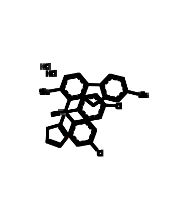 Cl.Cl.[CH2]=[Hf]([C]1=CC=CC1)([c]1ccc(Cl)cc1)([c]1ccc(Cl)cc1)[c]1c(C(C)(C)C)ccc2c1Cc1cc(C(C)(C)C)ccc1-2